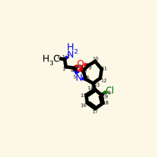 CC(N)CC1=NC2C(=O)C(CCCC2c2ccccc2Cl)O1